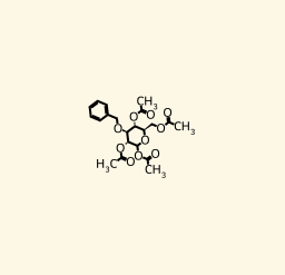 CC(=O)OC[C@H]1OC(OC(C)=O)[C@H](OC(C)=O)[C@@H](OCc2ccccc2)[C@@H]1OC(C)=O